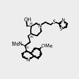 CN[C@@H](CC[C@@H]1CCN(CCSc2nccs2)C[C@@H]1CO)c1ccnc2ccc(OC)cc12